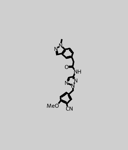 COc1ccc(Cn2ncc(NC(=O)Cc3ccc4c(cnn4C)c3)n2)cc1C#N